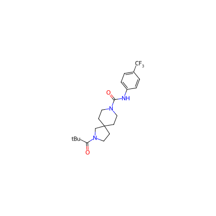 CC(C)(C)C(=O)N1CCC2(CCN(C(=O)Nc3ccc(C(F)(F)F)cc3)CC2)C1